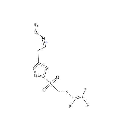 CC(C)O/N=C\Cc1cnc(S(=O)(=O)CCC(F)=C(F)F)s1